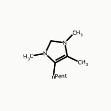 CCCCCC1=C(C)N(C)[CH]N1C